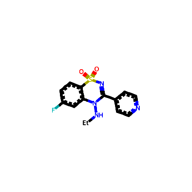 CCNN1C(c2ccncc2)=NS(=O)(=O)c2ccc(F)cc21